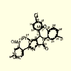 COC(=C/N(C)C)/C(=C\C=O)c1nc2c(n1C(C)C)C(c1ccc(Cl)cc1)N(c1cc(C)ccc1OC)C2=O